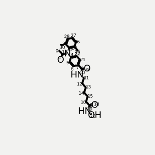 CC(=O)N(c1ccc(C(=O)NCCCCCCC(=O)NO)cc1)c1c(C)cccc1C